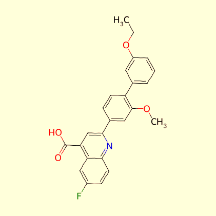 CCOc1cccc(-c2ccc(-c3cc(C(=O)O)c4cc(F)ccc4n3)cc2OC)c1